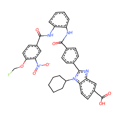 O=C(O)c1ccc2c(c1)nc(-c1ccc(C(=O)Nc3ccccc3NC(=O)c3ccc(OCF)c([N+](=O)[O-])c3)cc1)n2C1CCCCC1